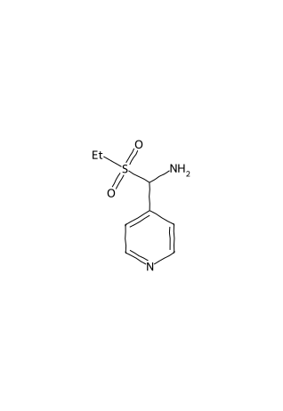 CCS(=O)(=O)C(N)c1ccncc1